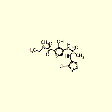 CCN(C)S(=O)(=O)c1scc(N[SH](C)(=O)Nc2ccsc2Cl)c1O